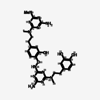 CNc1nc(N)nc(N(C)CCc2ccc(ONc3nc(N)nc(N(C)CCc4ccc(O)c(O)c4)n3)c(O)c2)n1